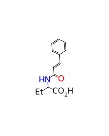 CCC(NC(=O)C=Cc1ccccc1)C(=O)O